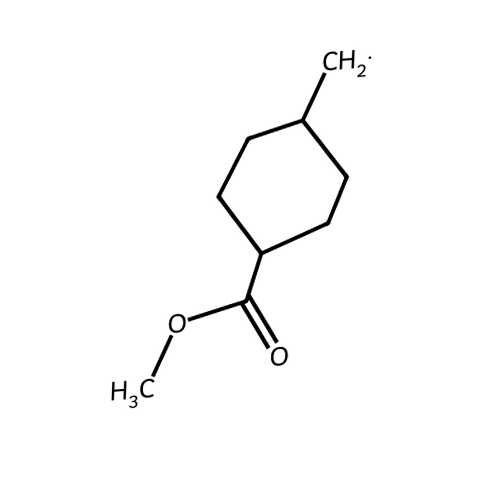 [CH2]C1CCC(C(=O)OC)CC1